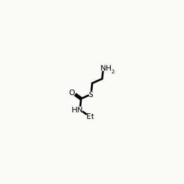 CCNC(=O)SCCN